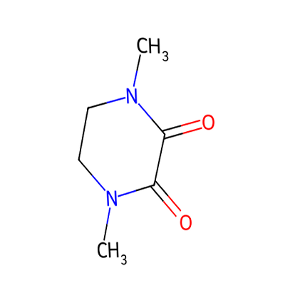 CN1CCN(C)C(=O)C1=O